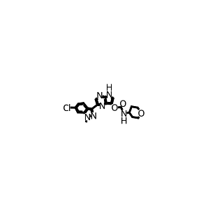 Cn1nc(-c2cnc3[nH]cc(OC(=O)NC4CCOCC4)c3n2)c2ccc(Cl)cc21